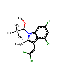 CCOC(=O)c1c(C=C(Br)Br)c2c(Cl)cc(Cl)cc2n1C(OCC)[Si](C)(C)C